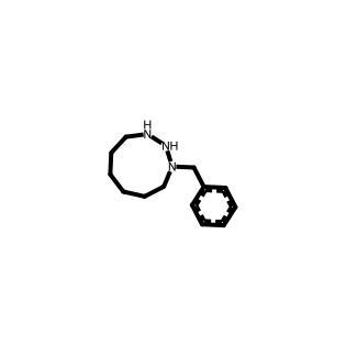 c1ccc(CN2CCCCCCNN2)cc1